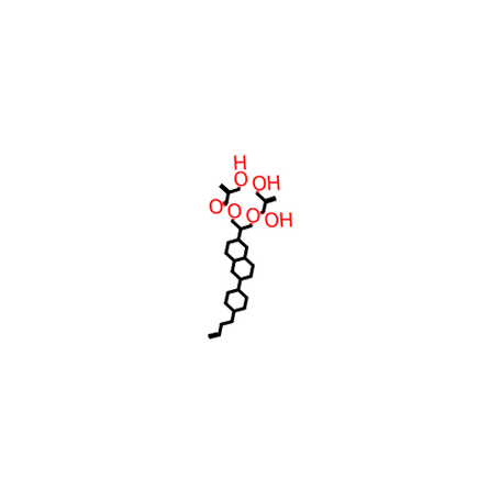 C=CCCC1CCC(C2CCC3CC(C(COC(=O)C(=C)CO)COC(O)C(=C)CO)CCC3C2)CC1